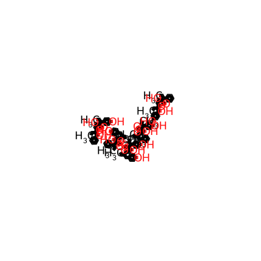 CCC(Cc1ccc(O)cc1)c1cc(O)c(C(CC)c2ccc(O)cc2)c(=O)o1.CCC(Cc1ccc(O)cc1)c1cc(O)c(C(CC)c2ccccc2)c(=O)o1.CCC(Cc1ccccc1)c1cc(O)c(C(CC)c2ccc(O)cc2)c(=O)o1.CCC(c1ccc(O)cc1)c1c(O)cc(C(CC)C(O)c2ccccc2)oc1=O.CCC(c1ccccc1)c1c(O)cc(C(CC)C(O)c2ccc(O)cc2)oc1=O